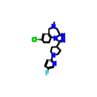 CN1Cc2cc(Cl)ccc2-n2c(nnc2C2CCN(c3ccc(F)cn3)CC2)C1